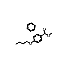 CCCCOc1ccc(C(=O)OC)cc1.c1ccccc1